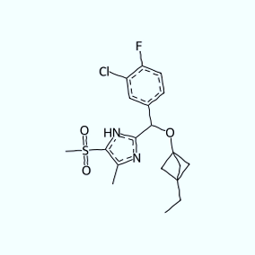 CCC12CC(OC(c3ccc(F)c(Cl)c3)c3nc(C)c(S(C)(=O)=O)[nH]3)(C1)C2